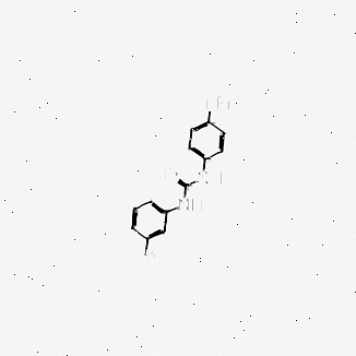 CCCc1ccc(NC(=O)Nc2cccc(C(C)=O)c2)cc1